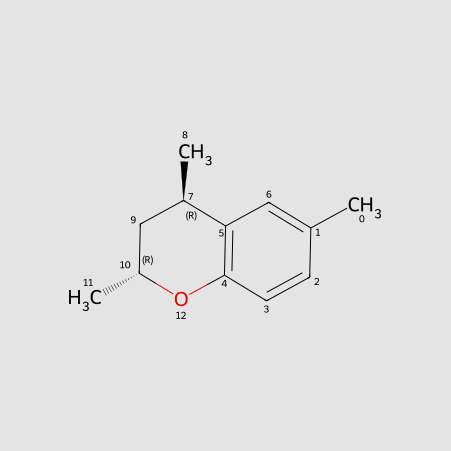 Cc1ccc2c(c1)[C@H](C)C[C@@H](C)O2